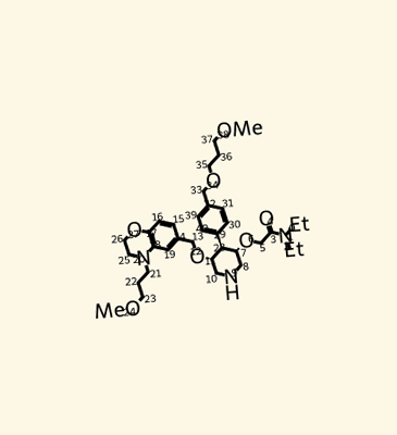 CCN(CC)C(=O)CO[C@@H]1CNC[C@H](OCc2ccc3c(c2)N(CCCOC)CCO3)[C@H]1c1ccc(COCCCOC)cc1